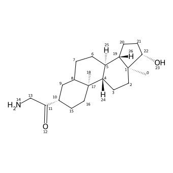 C[C@]12CC[C@H]3[C@@H](CCC4C[C@@H](C(=O)CN)CC[C@@]43C)[C@@H]1CC[C@@H]2O